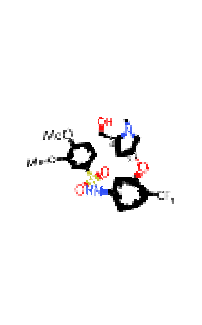 COc1ccc(S(=O)(=O)Nc2ccc(C(F)(F)F)c(O[C@@H]3C[C@@H](CO)N(C)C3)c2)cc1OC